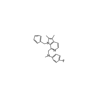 Cc1c(C)n(Cc2ccccc2)c2c(CN(C)c3ccc(F)cc3)nccc12